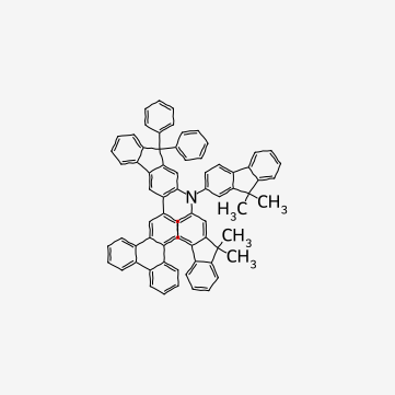 CC1(C)c2ccccc2-c2ccc(N(c3ccc4c(c3)C(C)(C)c3ccccc3-4)c3cc4c(cc3-c3ccc5c6ccccc6c6ccccc6c5c3)-c3ccccc3C4(c3ccccc3)c3ccccc3)cc21